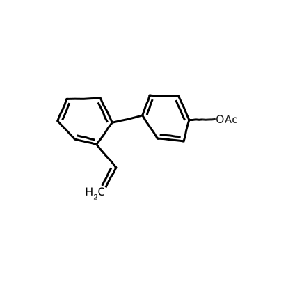 C=Cc1ccccc1-c1ccc(OC(C)=O)cc1